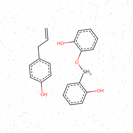 C=CCc1ccc(O)cc1.Oc1ccccc1O[SiH2]c1ccccc1O